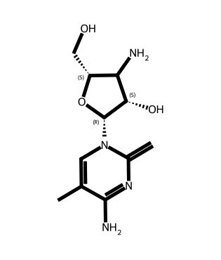 C=C1N=C(N)C(C)=CN1[C@@H]1O[C@H](CO)C(N)[C@@H]1O